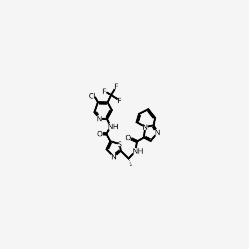 C[C@@H](NC(=O)c1cnc2ccccn12)c1ncc(C(=O)Nc2cc(C(F)(F)F)c(Cl)cn2)s1